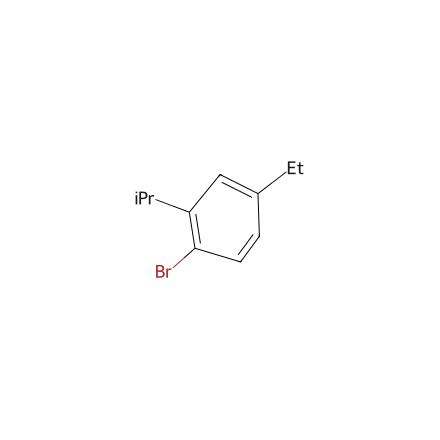 [CH2]C(C)c1cc(CC)ccc1Br